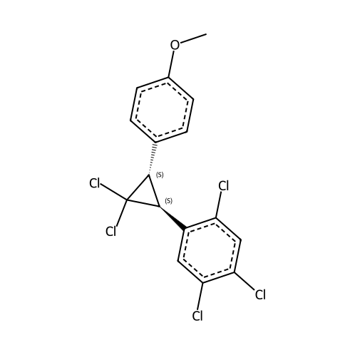 COc1ccc([C@@H]2[C@@H](c3cc(Cl)c(Cl)cc3Cl)C2(Cl)Cl)cc1